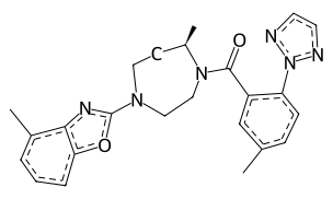 Cc1ccc(-n2nccn2)c(C(=O)N2CCN(c3nc4c(C)cccc4o3)CC[C@H]2C)c1